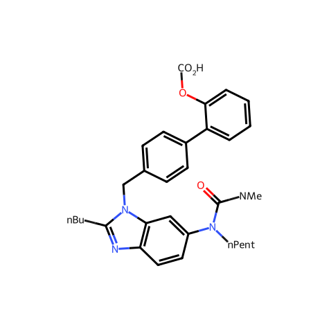 CCCCCN(C(=O)NC)c1ccc2nc(CCCC)n(Cc3ccc(-c4ccccc4OC(=O)O)cc3)c2c1